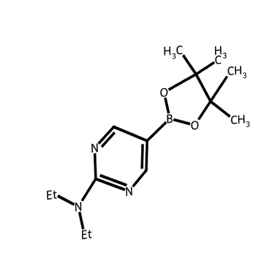 CCN(CC)c1ncc(B2OC(C)(C)C(C)(C)O2)cn1